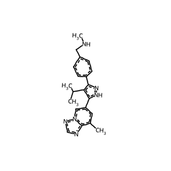 CNCc1ccc(-c2n[nH]c(-c3cc(C)c4ncnn4c3)c2C(C)C)cc1